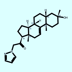 C[C@@]1(O)CC[C@]2(C)C3=CC[C@]4(C)[C@@H](C(=O)Cn5cccn5)CC[C@H]4[C@@H]3CC[C@@H]2C1